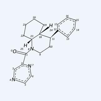 O=C(c1cnccn1)N1CC[C@H](c2ccccc2)[C@H]2CCCC[C@H]21